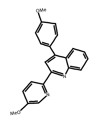 COc1ccc(-c2cc(-c3ccc(OC)cn3)nc3ccccc23)cc1